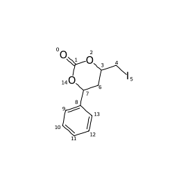 O=C1OC(CI)CC(c2ccccc2)O1